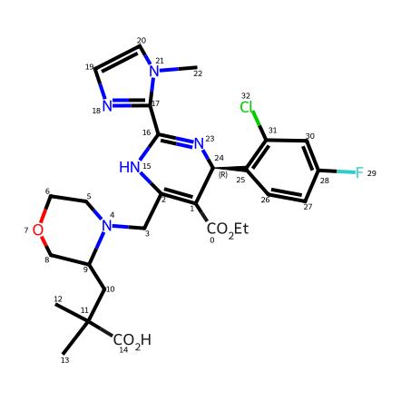 CCOC(=O)C1=C(CN2CCOCC2CC(C)(C)C(=O)O)NC(c2nccn2C)=N[C@H]1c1ccc(F)cc1Cl